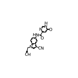 C#CCn1cc(C#N)c2cc(NC(=O)c3cc(=O)[nH]cn3)ccc21